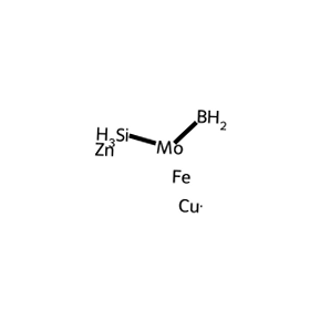 [BH2][Mo][SiH3].[Cu].[Fe].[Zn]